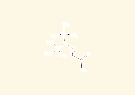 CC(=O)/C=N/N([Si](C)(C)C)[Si](C)(C)C